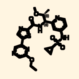 CCOc1cncc(-c2cnc(C(=O)N[C@H](c3cc(NS(=O)(=O)C4CC4)ccn3)[C@@H](C)OC)s2)n1